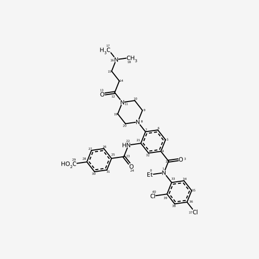 CCN(C(=O)c1ccc(N2CCN(C(=O)CCN(C)C)CC2)c(NC(=O)c2ccc(C(=O)O)cc2)c1)c1ccc(Cl)cc1Cl